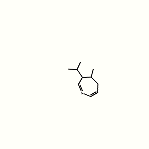 CC(C)C1C=NC=CCC1C